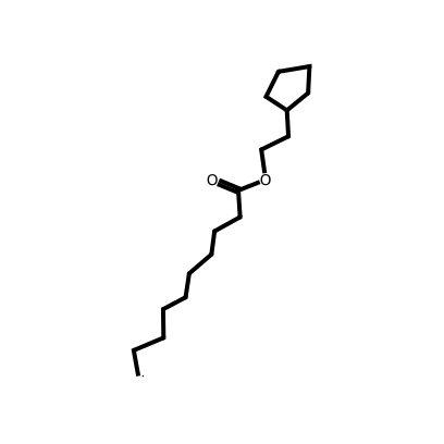 [CH2]CCCCCCCCC(=O)OCCC1CCCC1